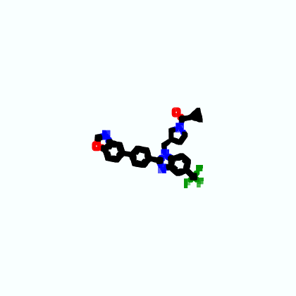 O=C(C1CC1)N1CC[C@@H](Cn2c(-c3ccc(-c4ccc5ocnc5c4)cc3)nc3cc(C(F)(F)F)ccc32)C1